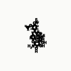 N[C@H]1[C@H](Oc2ccc(C[C@@H](c3ccc(OC(F)F)c(OC4CC4)c3)c3cnc(C(O)(C(F)(F)F)C(F)(F)F)s3)cn2)O[C@H](CO)[C@@H](O)[C@@H]1O